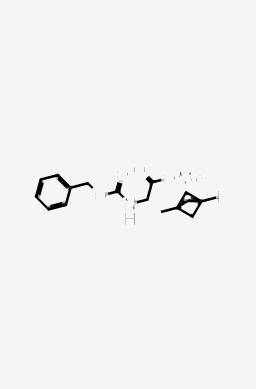 COC(=O)[C@H](CC12CC(I)(C1)C2)NC(=O)OCc1ccccc1